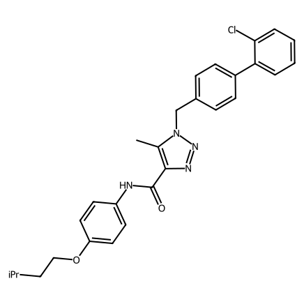 Cc1c(C(=O)Nc2ccc(OCCC(C)C)cc2)nnn1Cc1ccc(-c2ccccc2Cl)cc1